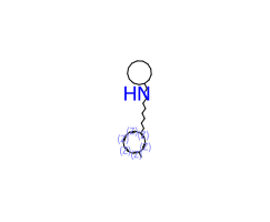 CC1=C/C=C\C=C/C=C\C(CCCCCCCNCC2CCCCCCCCCCCC2)=C/C=C\1